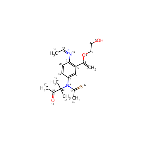 C=C(OCCO)c1cc(N(C(C)=S)C(C)(C)C(C)=O)ccc1/N=C\C